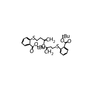 C=C(CCSc1ccccc1C(=O)OC(C)(C)C)OC(=C)CCSc1ccccc1C(=O)OC(C)(C)C